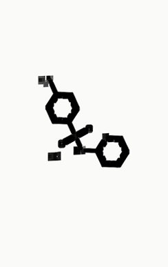 Cl.Nc1ccc(S(=O)(=O)Nc2ccccn2)cc1